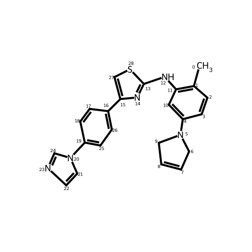 Cc1ccc(N2CC=CC2)cc1Nc1nc(-c2ccc(-n3ccnc3)cc2)cs1